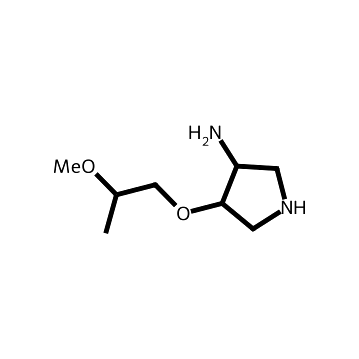 COC(C)COC1CNCC1N